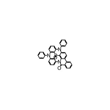 O=c1c2ccccc2c2ccc3c4c2n1-c1cccc2c1P4(=O)c1c(cccc1N3c1ccccc1)N2c1ccccc1